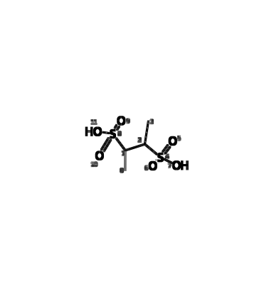 CC(C(C)S(=O)(=O)O)S(=O)(=O)O